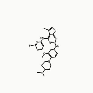 COc1cc(Nc2nc(Nc3cccc(F)n3)c3c(C)csc3n2)ccc1N1CCC(N(C)C)CC1